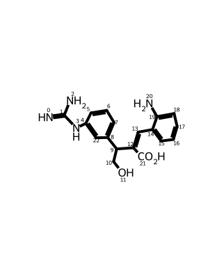 N=C(N)Nc1cccc(C(CO)C(=Cc2ccccc2N)C(=O)O)c1